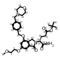 COCCOc1cc(OCc2ccc(CN3CCOCC3)cc2)c2c(c1)C(=O)N([C@@H](CCC(=O)OC(C)(C)C)C(N)=O)C2